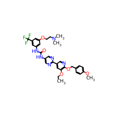 CCOc1cc(-c2ncc(NC(=O)Nc3cc(OCCN(C)C)cc(C(F)(F)F)c3)cn2)cnc1OCc1ccc(OC)cc1